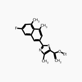 C=C(OCC)c1sc(-c2cc(C)c3c(C)cc(F)cc3c2)nc1C